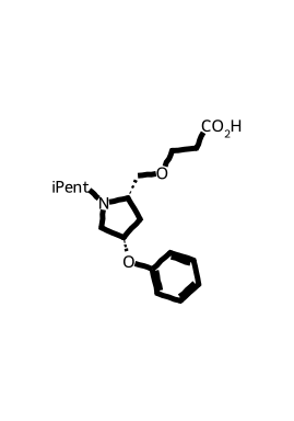 CCCC(C)N1C[C@@H](Oc2ccccc2)C[C@H]1COCCC(=O)O